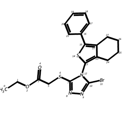 CCOC(=O)CSc1nnc(Br)n1-c1sc(-c2ccccc2)c2c1CCCC2